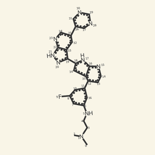 CN(C)CCNc1cc(F)cc(-c2ccnc3[nH]c(-c4n[nH]c5ncc(-c6cncnc6)cc45)cc23)c1